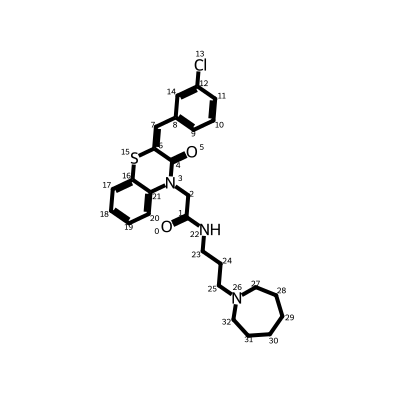 O=C(CN1C(=O)/C(=C\c2cccc(Cl)c2)Sc2ccccc21)NCCCN1CCCCCC1